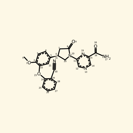 COc1ccc([C@H]2CC(=O)N(c3cncc(C(N)=O)n3)C2)cc1Oc1ccccc1C#N